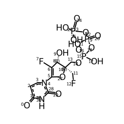 O=c1ccn(C2=C(F)[C@H](O)[C@@](CF)(COP(=O)(O)OP(=O)(O)OP(=O)(O)O)O2)c(=O)[nH]1